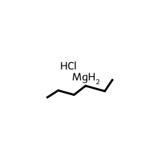 CCCCCC.Cl.[MgH2]